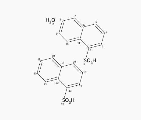 O.O=S(=O)(O)c1cccc2ccccc12.O=S(=O)(O)c1cccc2ccccc12